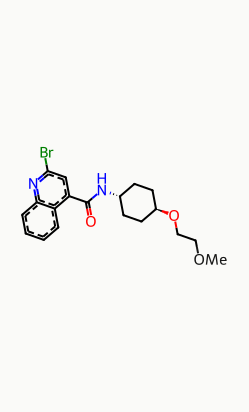 COCCO[C@H]1CC[C@H](NC(=O)c2cc(Br)nc3ccccc23)CC1